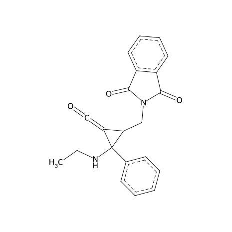 CCNC1(c2ccccc2)C(=C=O)C1CN1C(=O)c2ccccc2C1=O